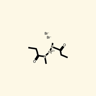 CCC(=O)[N](C)[Hf+2][N](C)C(=O)CC.[Br-].[Br-]